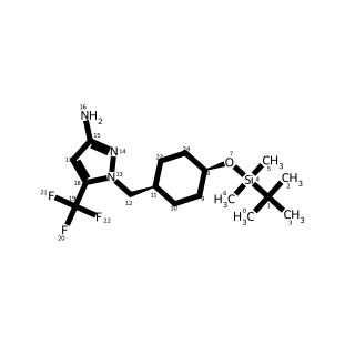 CC(C)(C)[Si](C)(C)O[C@H]1CC[C@@H](Cn2nc(N)cc2C(F)(F)F)CC1